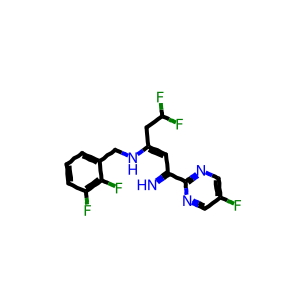 N=C(/C=C(/CC(F)F)NCc1cccc(F)c1F)c1ncc(F)cn1